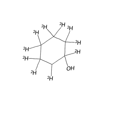 [2H]C1C([2H])([2H])C([2H])([2H])C([2H])([2H])C([2H])([2H])C1([2H])O